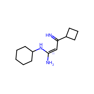 N=C(/C=C(/N)NC1CCCCC1)C1CCC1